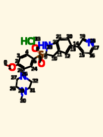 COc1ccc(S(=O)(=O)C2Cc3cc(-c4cccnc4)ccc3N2)cc1N1CCN(C)CC1.Cl